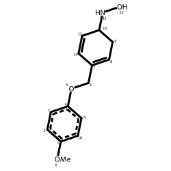 COc1ccc(OCC2=CCC(NO)C=C2)cc1